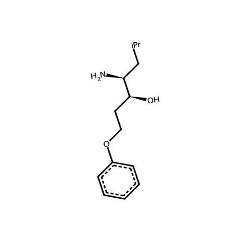 CC(C)C[C@H](N)[C@@H](O)CCOc1ccccc1